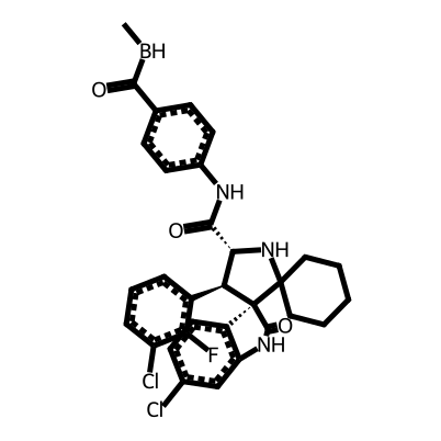 CBC(=O)c1ccc(NC(=O)[C@@H]2NC3(CCCCC3)[C@@]3(C(=O)Nc4cc(Cl)ccc43)[C@H]2c2cccc(Cl)c2F)cc1